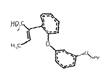 CC=C(C(=O)O)c1ccccc1Oc1cccc(OCCC)c1